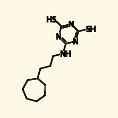 Sc1nc(S)nc(NCCCC2CCCCCC2)n1